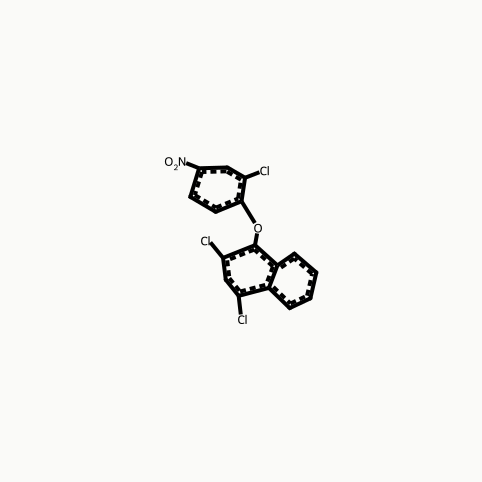 O=[N+]([O-])c1ccc(Oc2c(Cl)cc(Cl)c3ccccc23)c(Cl)c1